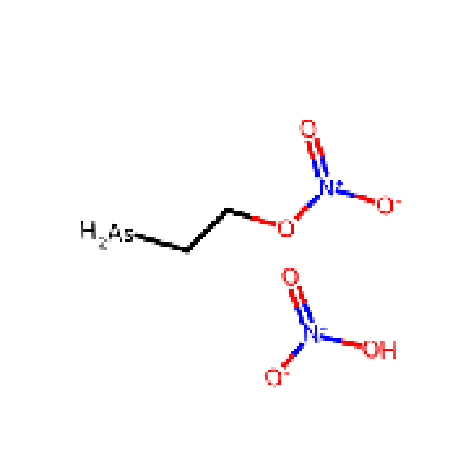 O=[N+]([O-])O.O=[N+]([O-])OCC[AsH2]